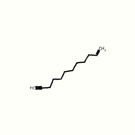 C#CCCCCCCCCC=C